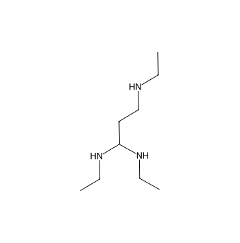 CCNCCC(NCC)NCC